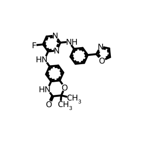 CC1(C)Oc2ccc(Nc3nc(Nc4cccc(-c5ncco5)c4)ncc3F)cc2NC1=O